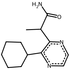 CC(C(N)=O)c1nccnc1C1CCCCC1